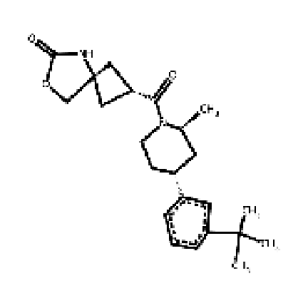 C[C@H]1C[C@H](c2cccc(C(C)(C)C)c2)CCN1C(=O)[C@H]1C[C@]2(COC(=O)N2)C1